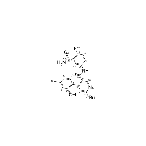 CC(C)(C)c1cc(-c2ccc(F)cc2O)c(C(=O)Nc2ccc(F)c(C(N)=O)c2)cn1